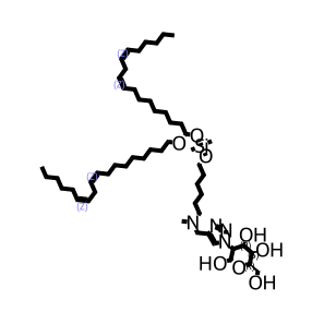 CCCCC/C=C\C/C=C\CCCCCCCCOC(CCCCCCC/C=C\C/C=C\CCCCC)O[Si](C)(C)OCCCCCCN(C)Cc1cn(C2C(O)O[C@H](CO)[C@@H](O)[C@@H]2O)nn1